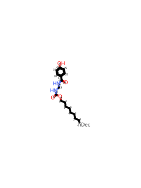 CCCCCCCCCCCCCCCCCCOC(=O)NCNC(=O)c1ccc(O)cc1